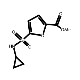 COC(=O)c1ccc(S(=O)(=O)NC2CC2)o1